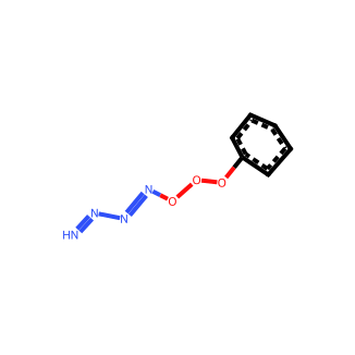 N=N/N=N/OOOc1ccccc1